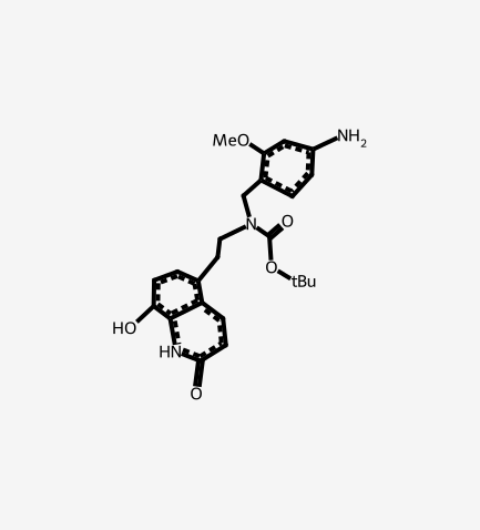 COc1cc(N)ccc1CN(CCc1ccc(O)c2[nH]c(=O)ccc12)C(=O)OC(C)(C)C